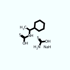 CC(NC(O)=S)C1CCCCC1.NC(O)=S.[NaH]